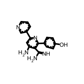 N=C(N)c1c(N)cc(-c2cccnc2)nc1-c1ccc(O)cc1